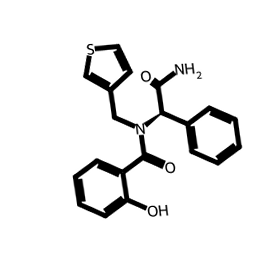 NC(=O)[C@@H](c1ccccc1)N(Cc1ccsc1)C(=O)c1ccccc1O